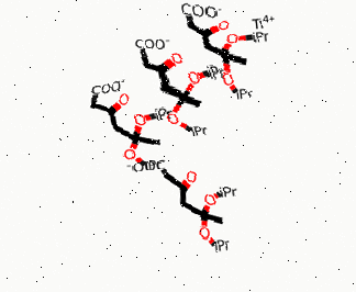 CC(C)OC(C)(CC(=O)CC(=O)[O-])OC(C)C.CC(C)OC(C)(CC(=O)CC(=O)[O-])OC(C)C.CC(C)OC(C)(CC(=O)CC(=O)[O-])OC(C)C.CC(C)OC(C)(CC(=O)CC(=O)[O-])OC(C)C.[Ti+4]